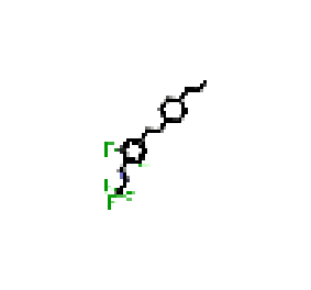 CCCC1CCC(CCc2cc(F)c(/C=C/C(F)(F)F)c(F)c2)CC1